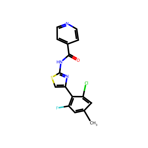 Cc1cc(F)c(-c2csc(NC(=O)c3ccncc3)n2)c(Cl)c1